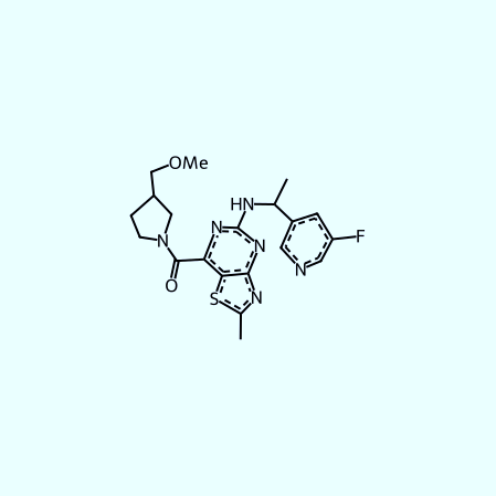 COCC1CCN(C(=O)c2nc(NC(C)c3cncc(F)c3)nc3nc(C)sc23)C1